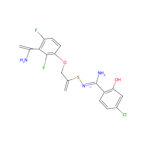 C=C(COc1ccc(F)c(C(=C)N)c1F)S/N=C(\N)c1ccc(Cl)cc1O